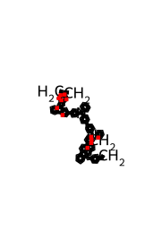 C=Cc1ccc(CC2(Cc3ccc(C=C)cc3)c3ccccc3-c3ccc(-c4ccc(N(c5ccccc5)c5ccc(-c6ccc(N(c7ccccc7)c7ccc(-c8ccc9c(c8)C(Cc8ccc(C=C)cc8)(Cc8ccc(C=C)cc8)c8ccccc8-9)cc7)cc6)cc5)cc4)cc32)cc1